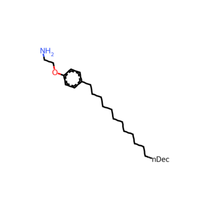 CCCCCCCCCCCCCCCCCCCCCCc1ccc(OCCN)cc1